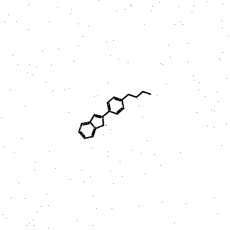 CCCCc1ccc(C2=Cc3ccccc3[CH]2)cc1